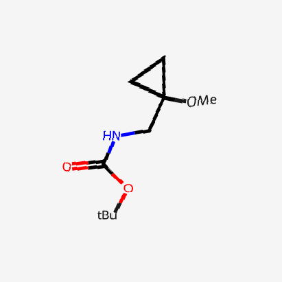 COC1(CNC(=O)OC(C)(C)C)CC1